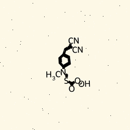 CN(CSC(=O)OO)c1ccc(C=C(C#N)C#N)cc1